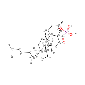 COP(=O)(OC)C(=O)C12C=CCC[C@]1(C)[C@H]1CC[C@]3(C)[C@@H]([C@H](C)CCCC(C)C)CC[C@H]3[C@@H]1CC2